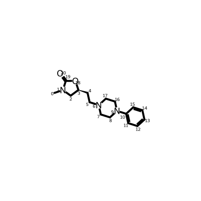 CN1C[C@H](CCN2CCN(c3ccccc3)CC2)OC1=O